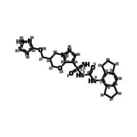 N=S(=O)(NC(=O)Nc1c2c(cc3c1CCC3)CCC2)c1cnn2c1OCC(COc1nn[nH]n1)C2